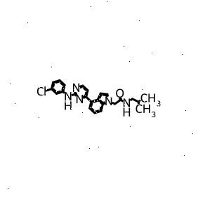 CC(C)CNC(=O)Cn1ccc2c(-c3ccnc(Nc4cccc(Cl)c4)n3)cccc21